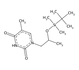 Cc1cn(CC(C)O[Si](C)(C)C(C)(C)C)c(=O)[nH]c1=O